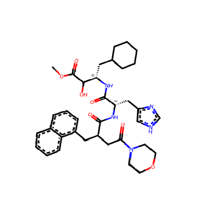 COC(=O)C(O)[C@H](CC1CCCCC1)NC(=O)[C@H](Cc1c[nH]cn1)NC(=O)C(CC(=O)N1CCOCC1)Cc1cccc2ccccc12